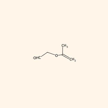 C=C(C)OC[C]=O